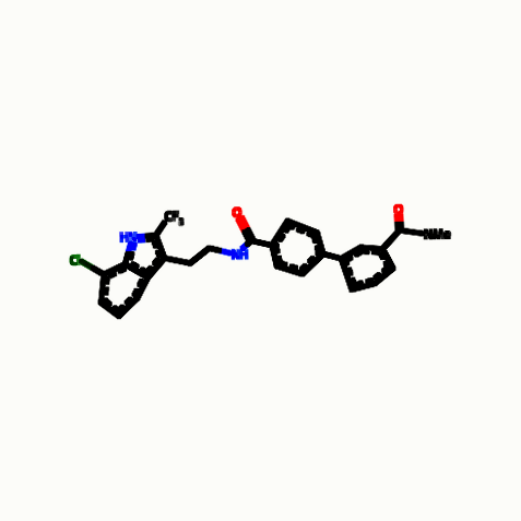 CNC(=O)c1cccc(-c2ccc(C(=O)NCCc3c(C(F)(F)F)[nH]c4c(Cl)cccc34)cc2)c1